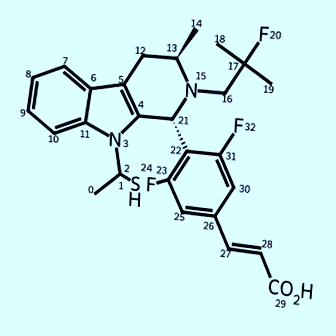 CC(S)n1c2c(c3ccccc31)C[C@@H](C)N(CC(C)(C)F)[C@@H]2c1c(F)cc(/C=C/C(=O)O)cc1F